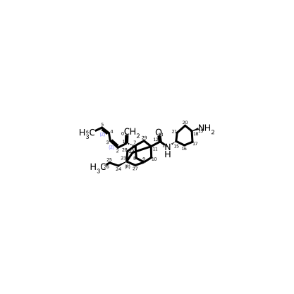 C=C(/C=C\C=C/C)[C@]12CC3CC(C(=O)N[C@H]4CC[C@H](N)CC4)(C[C@](CCC)(C3)C1)C2